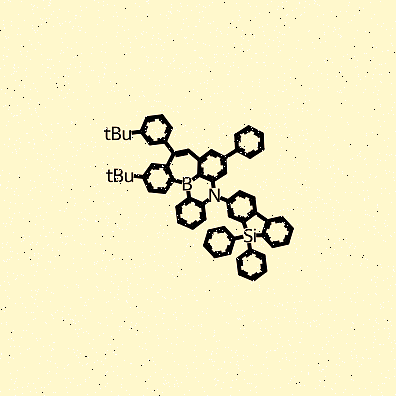 CC(C)(C)c1cccc(C2=Cc3cc(-c4ccccc4)cc4c3B(c3ccc(C(C)(C)C)cc32)c2ccccc2N4c2ccc3c(c2)[Si](c2ccccc2)(c2ccccc2)c2ccccc2-3)c1